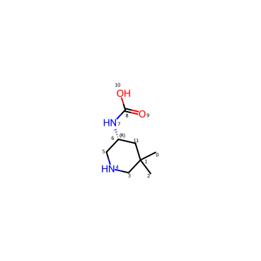 CC1(C)CNC[C@H](NC(=O)O)C1